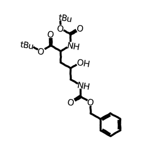 CC(C)(C)OC(=O)NC(CC(O)CNC(=O)OCc1ccccc1)C(=O)OC(C)(C)C